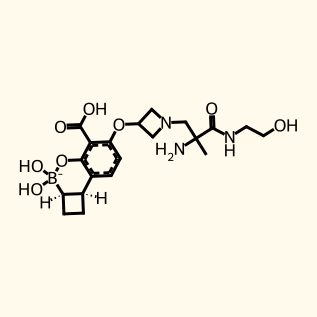 CC(N)(CN1CC(Oc2ccc3c(c2C(=O)O)O[B-](O)(O)[C@@H]2CC[C@H]32)C1)C(=O)NCCO